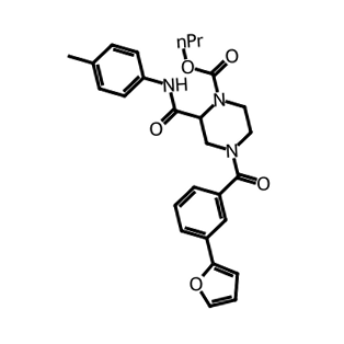 CCCOC(=O)N1CCN(C(=O)c2cccc(-c3ccco3)c2)CC1C(=O)Nc1ccc(C)cc1